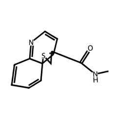 CNC(=O)C1=C2C=CN=C3C=CC=CC32SC1